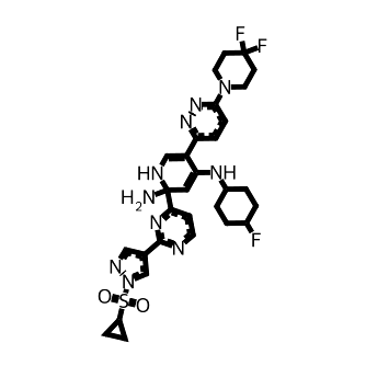 NC1(c2ccnc(-c3cnn(S(=O)(=O)C4CC4)c3)n2)C=C(NC2CCC(F)CC2)C(c2ccc(N3CCC(F)(F)CC3)nn2)=CN1